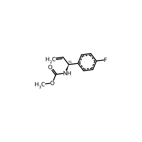 C=C[C@H](NC(=O)OC)c1ccc(F)cc1